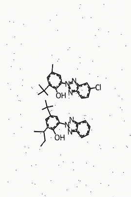 CCC(C)c1cc(C(C)(C)C)cc(-n2nc3ccccc3n2)c1O.Cc1cc(-n2nc3ccc(Cl)cc3n2)c(O)c(C(C)(C)C)c1